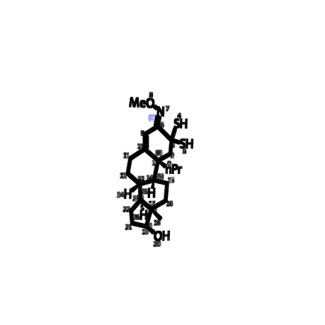 CCC[C@]12CC(S)(S)/C(=N/OC)C=C1CC[C@@H]1[C@@H]2CC[C@]2(C)[C@@H](O)CC[C@@H]12